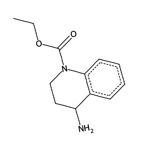 CCOC(=O)N1CCC(N)c2ccccc21